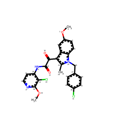 COc1ccc2c(c1)c(C(=O)C(=O)Nc1ccnc(OC)c1Cl)c(C)n2Cc1ccc(Cl)cc1